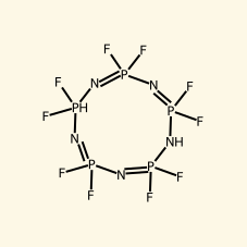 FP1(F)=N[PH](F)(F)N=P(F)(F)N=P(F)(F)NP(F)(F)=N1